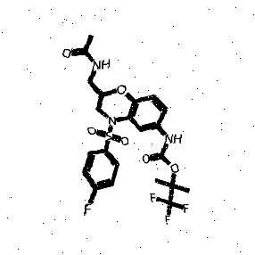 CC(=O)NCC1CN(S(=O)(=O)c2ccc(F)cc2)c2cc(NC(=O)OC(C)(C)C(F)(F)F)ccc2O1